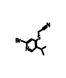 CC(C)c1cnc(Br)cc1SCC#N